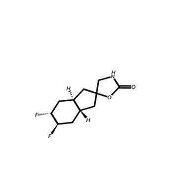 O=C1NCC2(C[C@@H]3C[C@@H](F)[C@H](F)C[C@H]3C2)O1